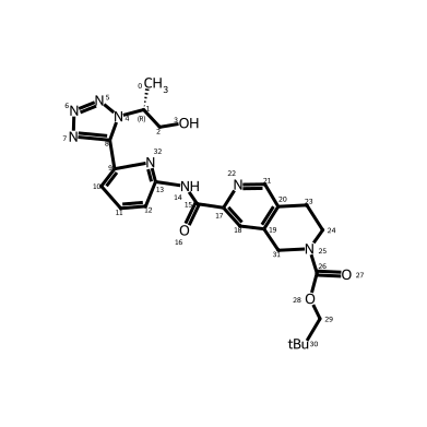 C[C@H](CO)n1nnnc1-c1cccc(NC(=O)c2cc3c(cn2)CCN(C(=O)OCC(C)(C)C)C3)n1